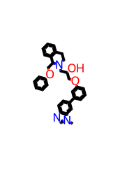 Cn1cnc2ccc(-c3cccc(OCC(O)CN4CCc5ccccc5C4COc4ccccc4)c3)cc21